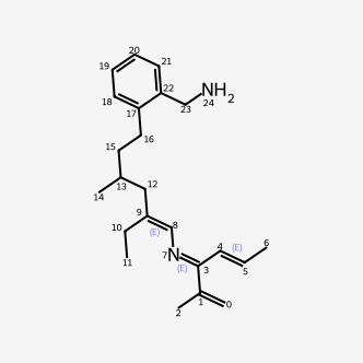 C=C(C)C(/C=C/C)=N/C=C(\CC)CC(C)CCc1ccccc1CN